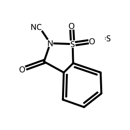 N#CN1C(=O)c2ccccc2S1(=O)=O.[S]